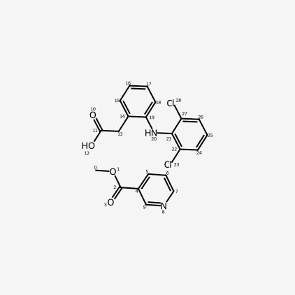 COC(=O)c1cccnc1.O=C(O)Cc1ccccc1Nc1c(Cl)cccc1Cl